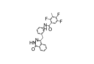 Cc1c(F)c(F)cc(C(=O)Nc2cccc(Cc3n[nH]c(=O)c4ccccc34)c2)c1F